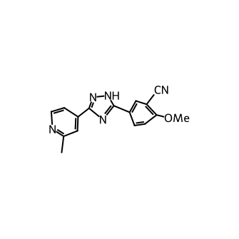 COc1ccc(-c2nc(-c3ccnc(C)c3)n[nH]2)cc1C#N